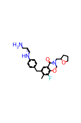 Cc1c(Cc2ccc(N/C=C\CN)cc2)cc2c(c1F)OCN(CC1CCCO1)C2=O